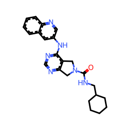 O=C(NCC1CCCCC1)N1Cc2ncnc(Nc3cnc4ccccc4c3)c2C1